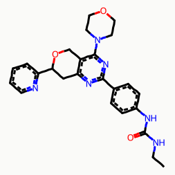 CCNC(=O)Nc1ccc(-c2nc3c(c(N4CCOCC4)n2)COC(c2ccccn2)C3)cc1